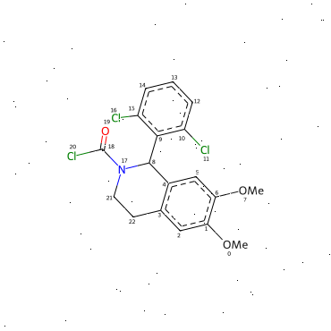 COc1cc2c(cc1OC)C(c1c(Cl)cccc1Cl)N(C(=O)Cl)CC2